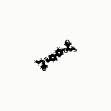 CCCC(OCc1ccc(-c2ccc(COC(CCC)C3COC3)cc2)cc1)C1COC1